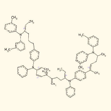 C=C(/C=C\C(=C/C)N(c1ccccc1)c1ccc(CCC/C(=C\C)N(c2cccc(C)c2)c2cccc(C)c2)cc1)C(=C)CC/C(=C\C)N(c1ccccc1)c1ccc(/C(C)=C/CC(C)N(c2cccc(C)c2)c2cccc(C)c2)cc1